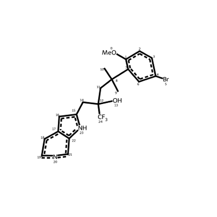 COc1ccc(Br)cc1C(C)(C)CC(O)(Cc1cc2ccncc2[nH]1)C(F)(F)F